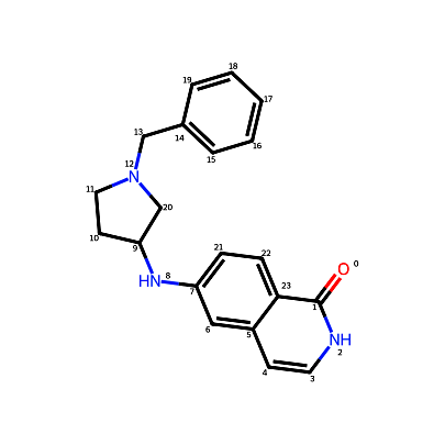 O=c1[nH]ccc2cc(NC3CCN(Cc4ccccc4)C3)ccc12